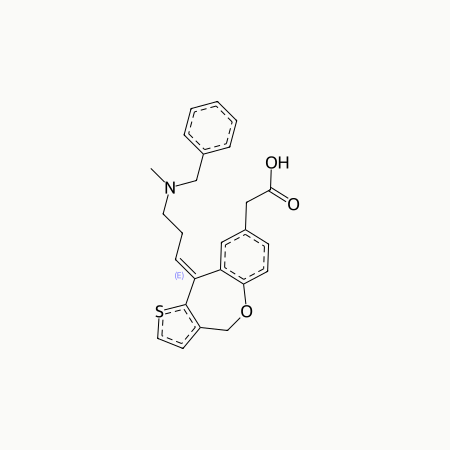 CN(CC/C=C1\c2cc(CC(=O)O)ccc2OCc2ccsc21)Cc1ccccc1